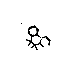 C/C=C\N1c2ccccc2C(C)(C)C(C)(C)C1C